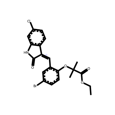 CCOC(=O)C(C)(C)Oc1ccc(Br)cc1/C=C1\C(=O)Nc2cc(Cl)ccc21